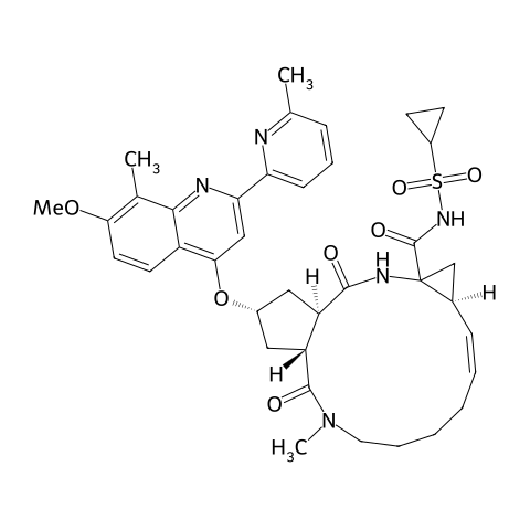 COc1ccc2c(O[C@@H]3C[C@H]4C(=O)NC5(C(=O)NS(=O)(=O)C6CC6)C[C@H]5/C=C\CCCCN(C)C(=O)[C@@H]4C3)cc(-c3cccc(C)n3)nc2c1C